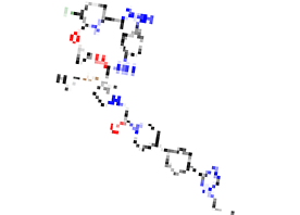 CS[C@@]1(C(=O)Nc2ccc3[nH]nc(-c4ccc(F)c(OC5CC5)n4)c3c2)CCN(CC(=O)N2CC=C(c3ccc(-c4ncn(C)n4)cc3)CC2)C1